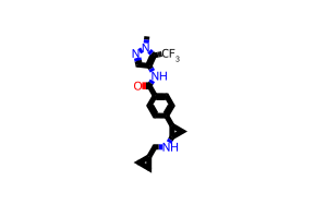 Cn1ncc(NC(=O)c2ccc(C3CC3NCC3CC3)cc2)c1C(F)(F)F